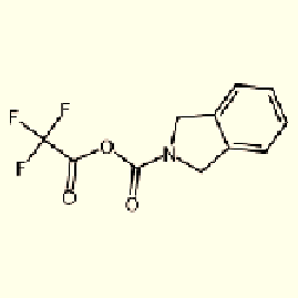 O=C(OC(=O)C(F)(F)F)N1Cc2ccccc2C1